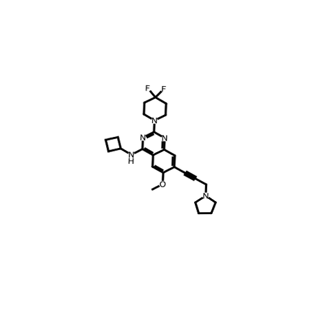 COc1cc2c(NC3CCC3)nc(N3CCC(F)(F)CC3)nc2cc1C#CCN1CCCC1